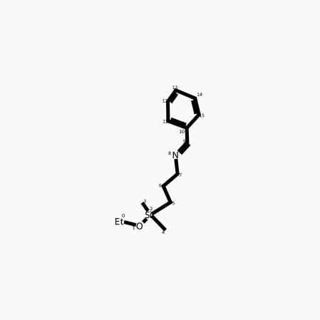 CCO[Si](C)(C)CCCN=Cc1ccccc1